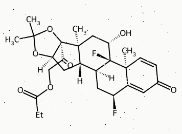 CCC(=O)OCC(=O)[C@@]12OC(C)(C)O[C@@H]1C[C@H]1[C@@H]3C[C@H](F)C4=CC(=O)C=C[C@]4(C)[C@@]3(F)[C@@H](O)C[C@@]12C